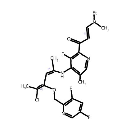 CCN(C)/C=C/C(=O)c1ncc(C)c(N/C(C)=C\C(OCc2ncc(F)cc2F)=C(/C)Cl)c1F